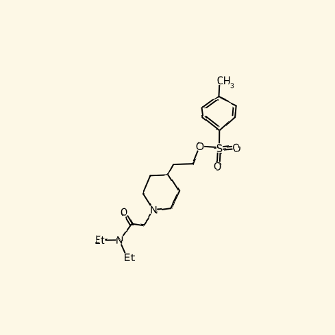 CCN(CC)C(=O)CN1CCC(CCOS(=O)(=O)c2ccc(C)cc2)CC1